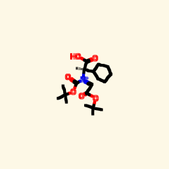 CC(C)(C)OC(=O)C=[N+](C(=O)OC(C)(C)C)[C@@](C)(C(=O)O)C1CCCCC1